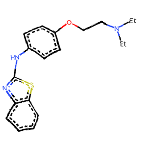 CCN(CC)CCOc1ccc(Nc2nc3ccccc3s2)cc1